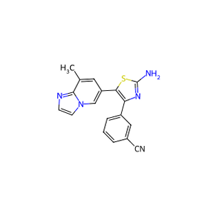 Cc1cc(-c2sc(N)nc2-c2cccc(C#N)c2)cn2ccnc12